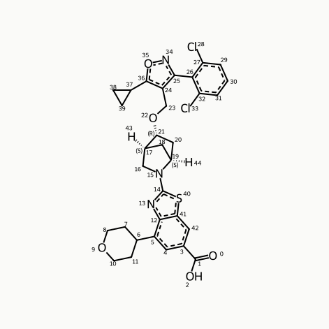 O=C(O)c1cc(C2CCOCC2)c2nc(N3C[C@@H]4C[C@H]3C[C@H]4OCc3c(-c4c(Cl)cccc4Cl)noc3C3CC3)sc2c1